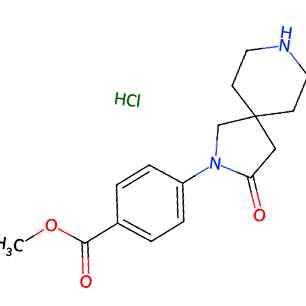 COC(=O)c1ccc(N2CC3(CCNCC3)CC2=O)cc1.Cl